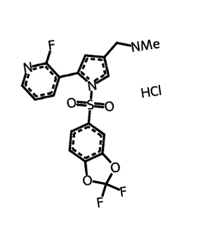 CNCc1cc(-c2cccnc2F)n(S(=O)(=O)c2ccc3c(c2)OC(F)(F)O3)c1.Cl